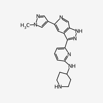 Cn1cc(-c2cc3c(-c4cccc(NC5CCNCC5)n4)n[nH]c3cn2)cn1